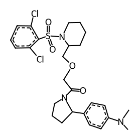 CN(C)c1ccc(C2CCCN2C(=O)COCC2CCCCN2S(=O)(=O)c2c(Cl)cccc2Cl)cc1